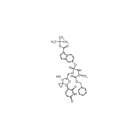 C[C@H](NP(=O)(OC[C@H]1O[C@@H](n2ccc(=O)[nH]c2=O)C2(CC2)[C@@H]1O)Oc1ccc2c(ccn2C(=O)OC(C)(C)C)c1)C(=O)OCc1ccccc1